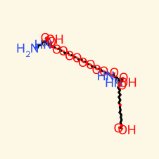 NCCCC[C@H](NC(=O)CCOCCOCCOCCOCCOCCOCCOCCOCCNC(=O)CC[C@H](NC(=O)CCCCCCCCCCCCCCCCC(=O)O)C(=O)O)C(=O)O